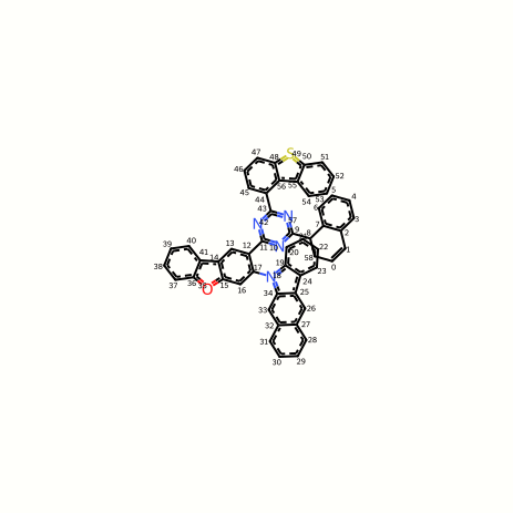 C1=Cc2ccccc2C(c2nc(-c3cc4c(cc3-n3c5ccccc5c5cc6ccccc6cc53)oc3ccccc34)nc(-c3cccc4sc5ccccc5c34)n2)C1